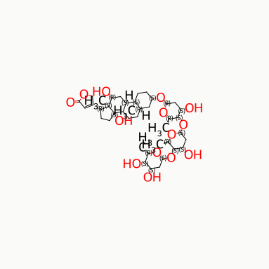 C[C@H]1O[C@@H](O[C@H]2[C@@H](O)C[C@H](O[C@H]3[C@@H](O)C[C@H](O[C@H]4CC[C@@]5(C)[C@H](CCC6[C@@H]5C[C@@H](O)[C@]5(C)[C@@H](C7=CC(=O)OC7)CC[C@]65O)C4)O[C@@H]3C)O[C@@H]2C)C[C@H](O)[C@@H]1O